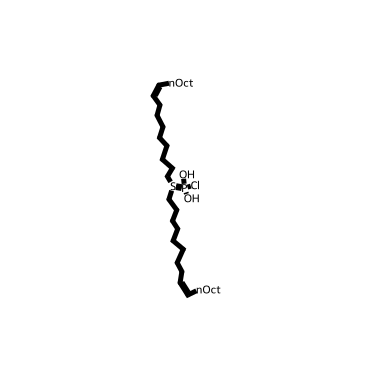 CCCCCCCC/C=C\CCCCCCCCS(CCCCCCCC/C=C\CCCCCCCC)=P(O)(O)Cl